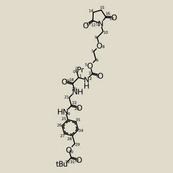 CC(C)C(NC(=O)OCCOCCN1C(=O)CCC1=O)C(=O)NCC(=O)Nc1ccc(COC(=O)C(C)(C)C)cc1